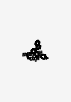 COc1ccc(N2CCc3ccccc32)c(NC(=O)N2CCN(C)CC2)c1.O=C(O)/C=C\C(=O)O